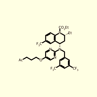 CCOC(=O)N1c2ccc(C(F)(F)F)cc2[C@@H](N(Cc2cc(C(F)(F)F)cc(C(F)(F)F)c2)c2ncc(OCCCC(C)=O)cn2)C[C@H]1CC